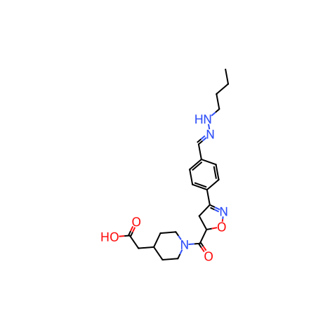 CCCCNN=Cc1ccc(C2=NOC(C(=O)N3CCC(CC(=O)O)CC3)C2)cc1